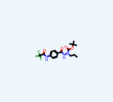 CCCN(NC(=O)c1ccc(NC(=O)C(F)(F)F)cc1)C(=O)OC(C)(C)C